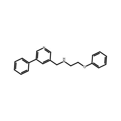 c1ccc(OCCNCc2cncc(-c3ccccc3)c2)cc1